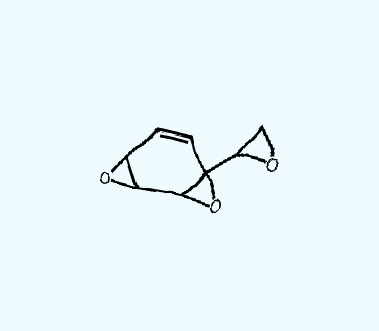 C1=CC2(C3CO3)OC2C2OC12